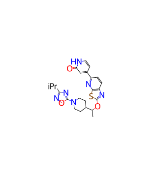 CC(C)c1noc(N2CCC(C(C)Oc3nc4ccc(-c5cc[nH]c(=O)c5)nc4s3)CC2)n1